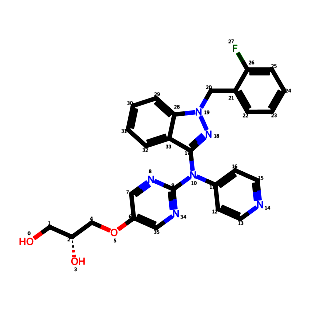 OC[C@@H](O)COc1cnc(N(c2ccncc2)c2nn(Cc3ccccc3F)c3ccccc23)nc1